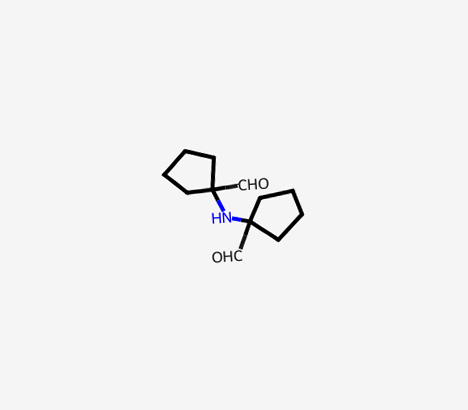 O=CC1(NC2(C=O)CCCC2)CCCC1